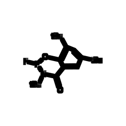 CC(C)(C)c1cc2c(c(C(C)(C)C)c1)OP(F)N(C(C)(C)C)C2=O